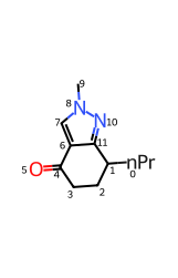 CCCC1CCC(=O)c2cn(C)nc21